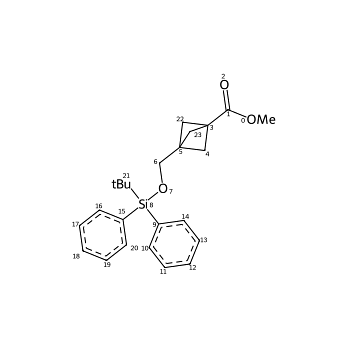 COC(=O)C12CC(CO[Si](c3ccccc3)(c3ccccc3)C(C)(C)C)(C1)C2